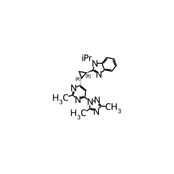 Cc1nc([C@@H]2C[C@H]2c2nc3ccccc3n2C(C)C)cc(-n2nc(C)nc2C)n1